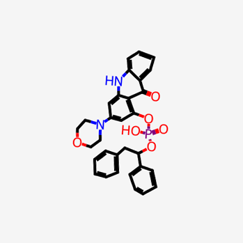 O=c1c2ccccc2[nH]c2cc(N3CCOCC3)cc(OP(=O)(O)OC(Cc3ccccc3)c3ccccc3)c12